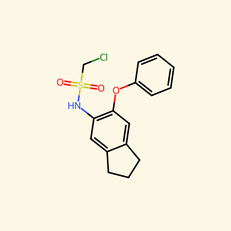 O=S(=O)(CCl)Nc1cc2c(cc1Oc1ccccc1)CCC2